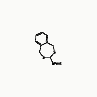 CCCCCC1SCc2ccccc2CS1